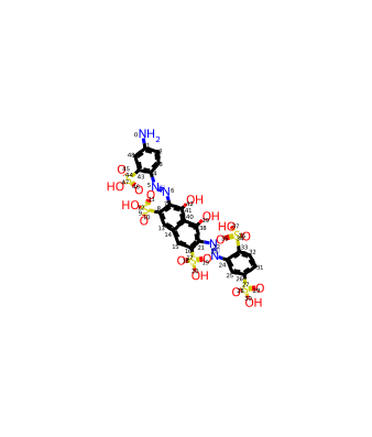 Nc1ccc(/N=N/c2c(S(=O)(=O)O)cc3cc(S(=O)(=O)O)c(/N=N/c4cc(S(=O)(=O)O)ccc4S(=O)(=O)O)c(O)c3c2O)c(S(=O)(=O)O)c1